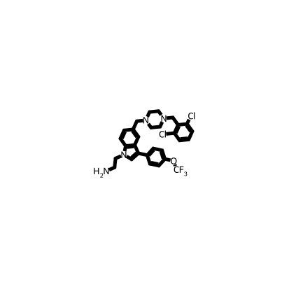 NCCn1cc(-c2ccc(OC(F)(F)F)cc2)c2cc(CN3CCN(Cc4c(Cl)cccc4Cl)CC3)ccc21